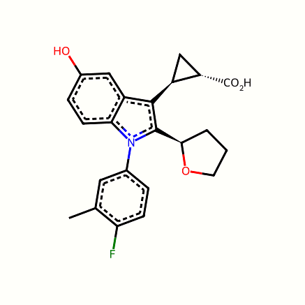 Cc1cc(-n2c([C@H]3CCCO3)c([C@H]3C[C@@H]3C(=O)O)c3cc(O)ccc32)ccc1F